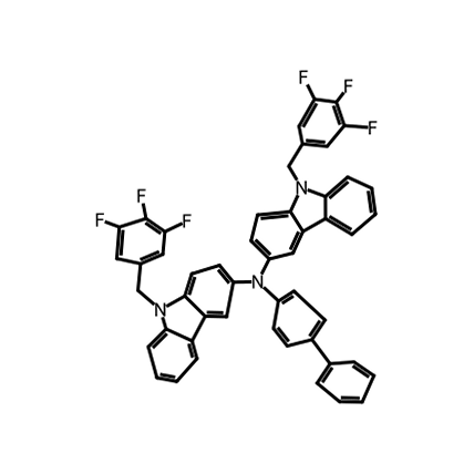 Fc1cc(Cn2c3ccccc3c3cc(N(c4ccc(-c5ccccc5)cc4)c4ccc5c(c4)c4ccccc4n5Cc4cc(F)c(F)c(F)c4)ccc32)cc(F)c1F